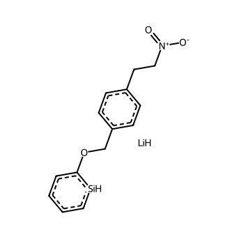 O=[N+]([O-])CCc1ccc(COc2cccc[siH]2)cc1.[LiH]